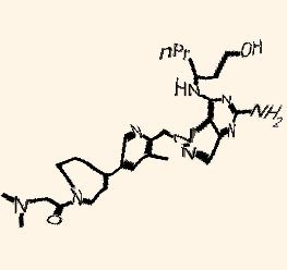 CCCC(CCO)Nc1nc(N)nc2cnn(Cc3ncc(C4CCN(C(=O)CN(C)C)CC4)cc3C)c12